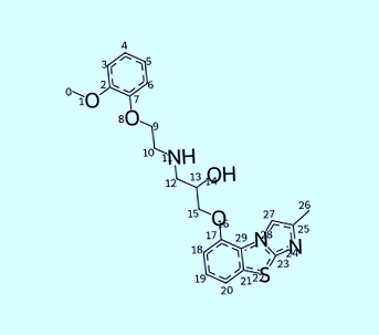 COc1ccccc1OCCNCC(O)COc1cccc2sc3nc(C)cn3c12